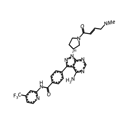 CNCC=CC(=O)N1CC[C@@H](n2nc(-c3ccc(C(=O)Nc4cc(C(F)(F)F)ccn4)cc3)c3c(N)ncnc32)C1